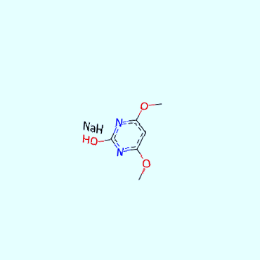 COc1cc(OC)nc(O)n1.[NaH]